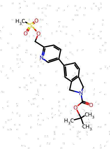 CC(C)(C)OC(=O)N1Cc2ccc(-c3ccc(COS(C)(=O)=O)nc3)cc2C1